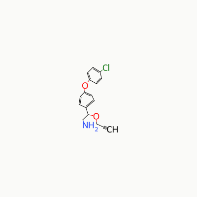 C#CCOC(CN)c1ccc(Oc2ccc(Cl)cc2)cc1